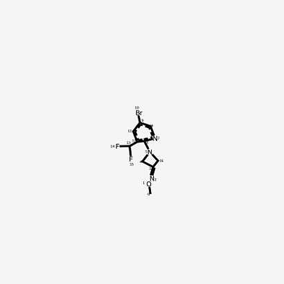 CON=C1CN(c2ncc(Br)cc2C(F)F)C1